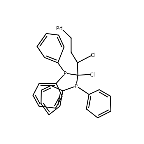 ClC(C[CH2][Pd])C(Cl)(P(c1ccccc1)c1ccccc1)P(c1ccccc1)c1ccccc1